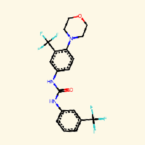 O=C(Nc1cccc(C(F)(F)F)c1)Nc1ccc(N2CCOCC2)c(C(F)(F)F)c1